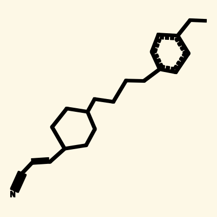 CCc1ccc(CCCCC2CCC(C=CC#N)CC2)cc1